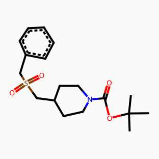 CC(C)(C)OC(=O)N1CCC(CS(=O)(=O)Cc2ccccc2)CC1